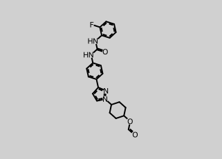 O=COC1CCC(n2ccc(-c3ccc(NC(=O)Nc4ccccc4F)cc3)n2)CC1